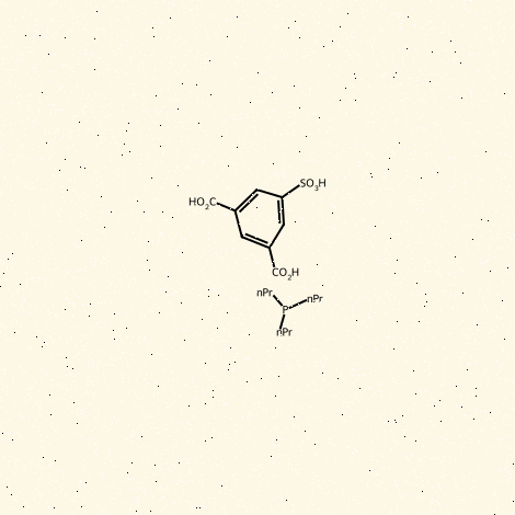 CCCP(CCC)CCC.O=C(O)c1cc(C(=O)O)cc(S(=O)(=O)O)c1